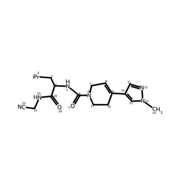 CC(C)CC(NC(=O)N1CC=C(c2cnn(C)c2)CC1)C(=O)NCC#N